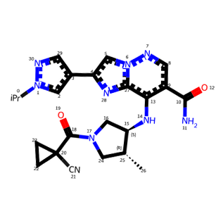 CC(C)n1cc(-c2cn3ncc(C(N)=O)c(N[C@@H]4CN(C(=O)C5(C#N)CC5)C[C@H]4C)c3n2)cn1